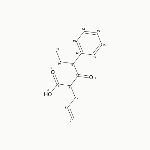 C=CCC(C(=O)O)C(=O)C(CC)c1ccccc1